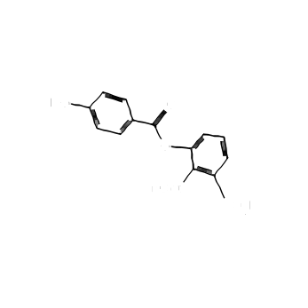 CCCCCCCCc1c(OC(=O)c2ccc(O)cc2)cccc1C(=O)O